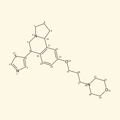 c1ncc(C2CN3CCCC3c3cc(OCCCN4CCOCC4)ccc32)s1